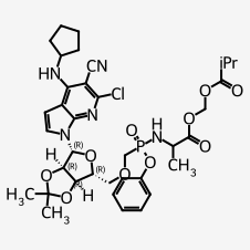 CC(C)C(=O)OCOC(=O)C(C)NP(=O)(COC[C@H]1O[C@@H](n2ccc3c(NC4CCCC4)c(C#N)c(Cl)nc32)[C@@H]2OC(C)(C)O[C@@H]21)Oc1ccccc1